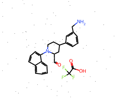 NCc1cccc(C2CCN(c3cccc4ccccc34)C(C=O)C2)c1.O=C(O)C(F)(F)F